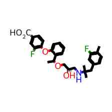 Cc1ccc(CC(C)(C)NC[C@H](O)COC(C)c2ccccc2Oc2ccc(C(=O)O)cc2F)cc1F